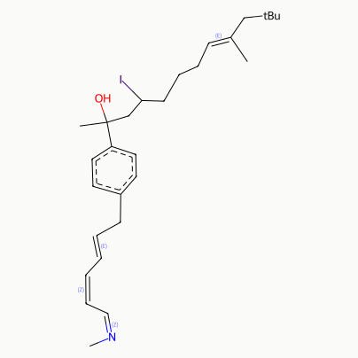 C\N=C/C=C\C=C\Cc1ccc(C(C)(O)CC(I)CCC/C=C(\C)CC(C)(C)C)cc1